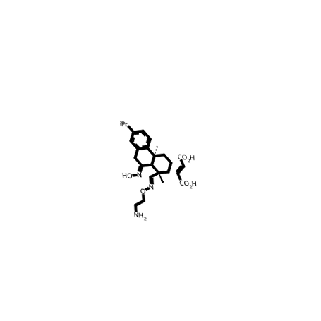 CC(C)c1ccc2c(c1)C/C(=N\O)C1[C@@](C)(/C=N/OCCN)CCC[C@]21C.O=C(O)/C=C/C(=O)O